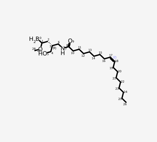 BC(C[C@@H](CO)CNC(=O)CCCCCCC/C=C\CCCCCCCC)OC